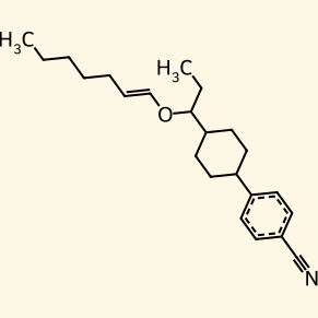 CCCCC/C=C/OC(CC)C1CCC(c2ccc(C#N)cc2)CC1